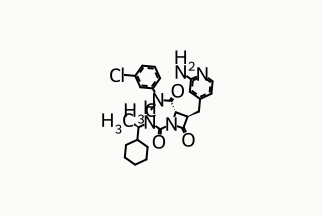 C[C@@H](NC(=O)N1C(=O)[C@H](Cc2ccnc(N)c2)[C@H]1C(=O)N(C)c1cccc(Cl)c1)C1CCCCC1